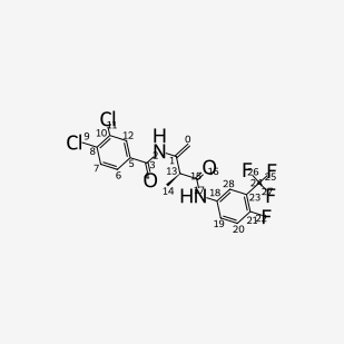 C=C(NC(=O)c1ccc(Cl)c(Cl)c1)[C@H](C)C(=O)Nc1ccc(F)c(C(F)(F)F)c1